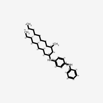 CCCCCCCCC(C)CC(CCCCCCCC)Nc1ccc(Nc2ccccc2)cc1